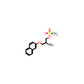 CC(C)(C)C(COc1ccc2ccccc2c1)COS(C)(=O)=O